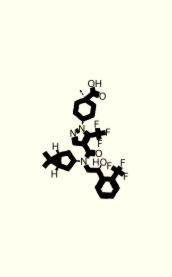 CC1(C)[C@@H]2C[C@H](N(C[C@H](O)c3ccccc3C(F)(F)F)C(=O)c3cnn([C@H]4CC[C@](C)(C(=O)O)CC4)c3C(F)(F)F)C[C@@H]21